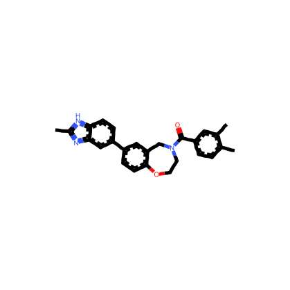 Cc1nc2cc(-c3ccc4c(c3)CN(C(=O)c3ccc(C)c(C)c3)CCO4)ccc2[nH]1